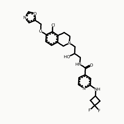 O=C(NCC(O)CN1CCc2c(ccc(OCc3cnco3)c2Cl)C1)c1ccnc(NC2CC(F)(F)C2)c1